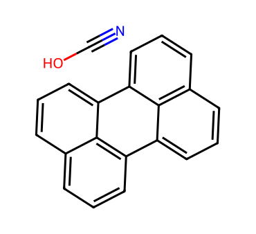 N#CO.c1cc2cccc3c4cccc5cccc(c(c1)c23)c54